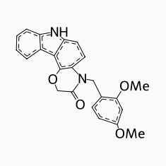 COc1ccc(CN2C(=O)COc3c2ccc2[nH]c4ccccc4c32)c(OC)c1